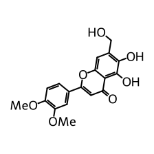 COc1ccc(-c2cc(=O)c3c(O)c(O)c(CO)cc3o2)cc1OC